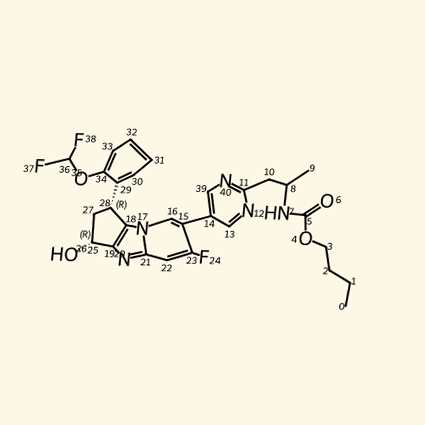 CCCCOC(=O)NC(C)Cc1ncc(-c2cn3c4c(nc3cc2F)[C@H](O)C[C@@H]4c2ccccc2OC(F)F)cn1